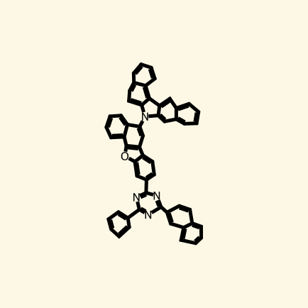 c1ccc(-c2nc(-c3ccc4ccccc4c3)nc(-c3ccc4c(c3)oc3c5ccccc5c(-n5c6cc7ccccc7cc6c6c7ccccc7ccc65)cc43)n2)cc1